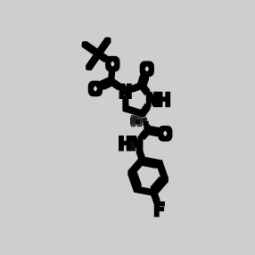 CC(C)(C)OC(=O)N1C[C@@H](C(=O)Nc2ccc(F)cc2)NC1=O